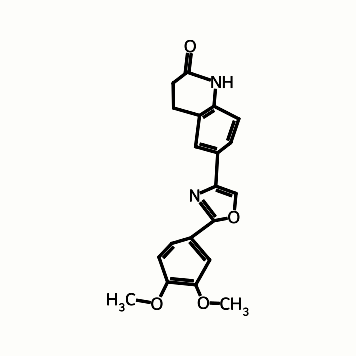 COc1ccc(-c2nc(-c3ccc4c(c3)CCC(=O)N4)co2)cc1OC